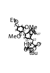 CCOCc1cc(OC)c(-c2ccc(CC(NC(=O)OC(C)(C)C)C(=O)OC)c3c2cnn3C)c(OC)c1